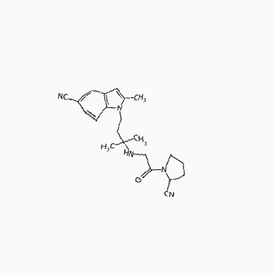 Cc1cc2cc(C#N)ccc2n1CCC(C)(C)NCC(=O)N1CCCC1C#N